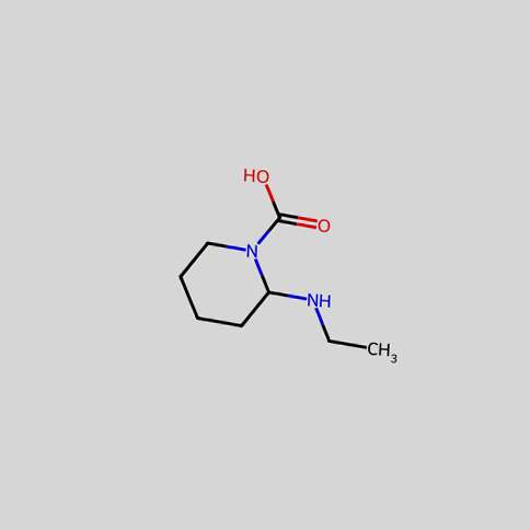 CCNC1CCCCN1C(=O)O